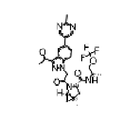 CC(=O)c1nn(CC(=O)N2[C@H](C(=O)N[C@@H](C)COC(F)(F)F)C[C@@]3(C)C[C@@H]23)c2ccc(-c3cnc(C)nc3)cc12